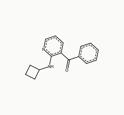 O=C(c1ccccc1)c1cccnc1NC1CCC1